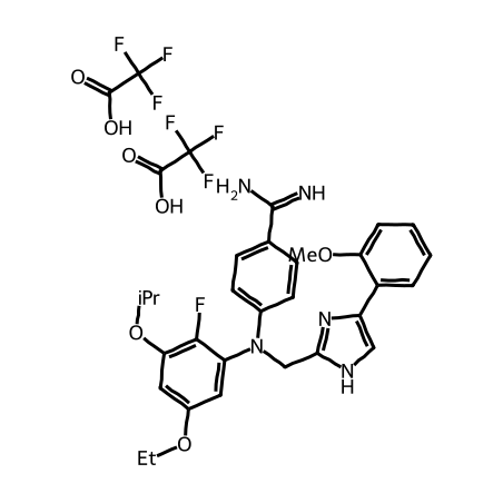 CCOc1cc(OC(C)C)c(F)c(N(Cc2nc(-c3ccccc3OC)c[nH]2)c2ccc(C(=N)N)cc2)c1.O=C(O)C(F)(F)F.O=C(O)C(F)(F)F